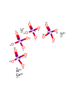 O=P([O-])([O-])[O-].O=P([O-])([O-])[O-].O=P([O-])([O-])[O-].O=P([O-])([O-])[O-].[Al+3].[Ge+4].[Li+].[Ti+4]